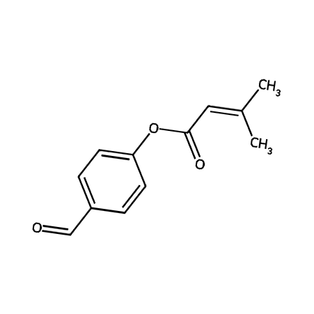 CC(C)=CC(=O)Oc1ccc(C=O)cc1